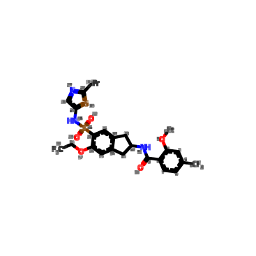 CCOc1cc(C(F)(F)F)ccc1C(=O)NC1Cc2cc(OCC(F)(F)F)c(S(=O)(=O)Nc3cnc(C(C)C)s3)cc2C1